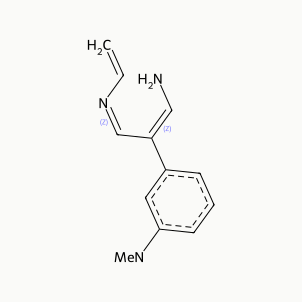 C=C/N=C\C(=C/N)c1cccc(NC)c1